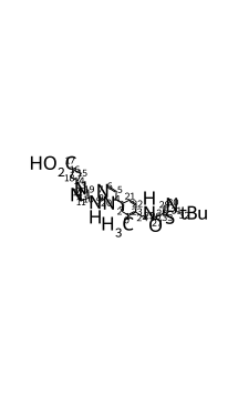 Cc1cc(-c2ccnc(Nc3cnn(C4CC(C(=O)O)C4)c3)n2)ccc1CNC(=O)c1cnc(C(C)(C)C)s1